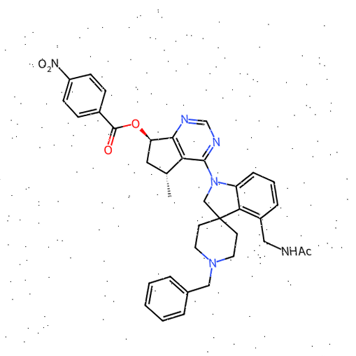 CC(=O)NCc1cccc2c1C1(CCN(Cc3ccccc3)CC1)CN2c1ncnc2c1[C@H](C)C[C@H]2OC(=O)c1ccc([N+](=O)[O-])cc1